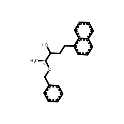 C[C@H](OCc1ccccc1)C(O)CCc1cccc2ccccc12